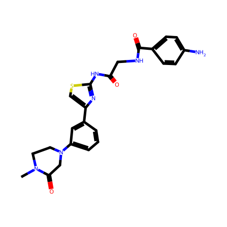 CN1CCN(c2cccc(-c3csc(NC(=O)CNC(=O)c4ccc(N)cc4)n3)c2)CC1=O